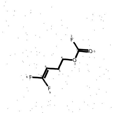 O=C(F)OCCC=C(F)F